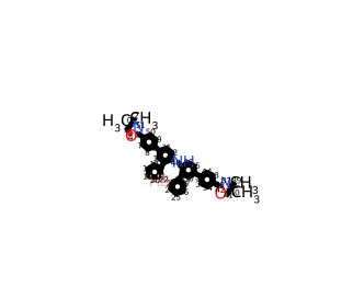 CC1(C)COC(c2ccc(-c3ccc4c(c3)-c3ccccc3Bc3ccccc3-c3cc(-c5ccc(C6=NC(C)(C)CO6)cc5)ccc3N4)cc2)=N1